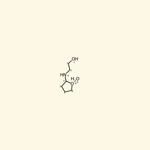 O.OCCNC1CCCO1